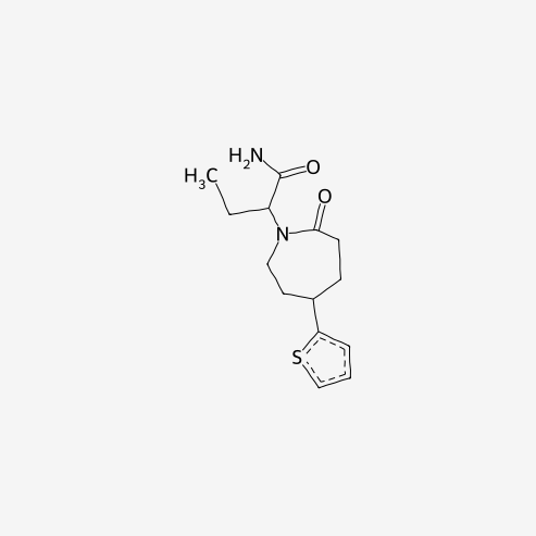 CCC(C(N)=O)N1CCC(c2cccs2)CCC1=O